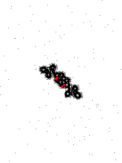 c1ccc(N(c2ccc3c4c(ccc3c2)-c2ccc3cc(N(c5ccccc5)c5cccc6c5oc5ccccc56)ccc3c2C42c3ccccc3-c3ccccc32)c2cccc3c2oc2ccccc23)cc1